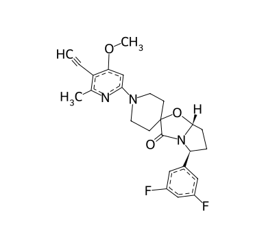 C#Cc1c(OC)cc(N2CCC3(CC2)O[C@@H]2CC[C@@H](c4cc(F)cc(F)c4)N2C3=O)nc1C